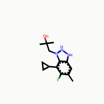 Cc1cc2c(c(C3CC3)c1F)N(CC(C)(C)O)NN2